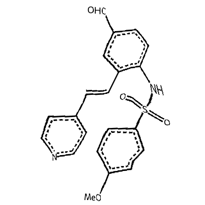 COc1ccc(S(=O)(=O)Nc2ccc(C=O)cc2C=Cc2ccncc2)cc1